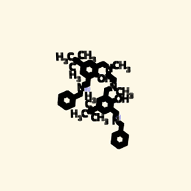 CN(CCN(C)Cc1cc(C(C)(C)C)cc(/C=N/Cc2ccccc2)c1O)Cc1cc(C(C)(C)C)cc(/C=N/Cc2ccccc2)c1O